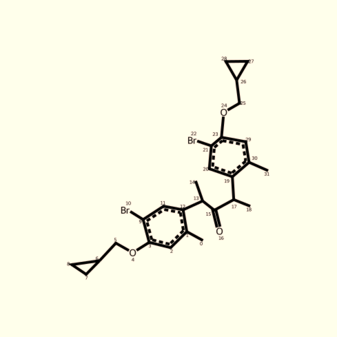 Cc1cc(OCC2CC2)c(Br)cc1C(C)C(=O)C(C)c1cc(Br)c(OCC2CC2)cc1C